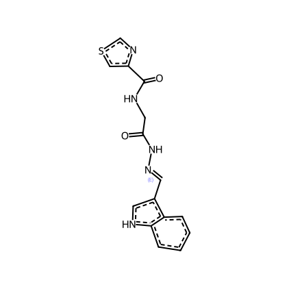 O=C(CNC(=O)c1cscn1)N/N=C/c1c[nH]c2ccccc12